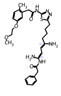 COCCOc1ccc(C)c(CC(=O)Nc2nnc(CCCC/C(N)=C/C=C(\N)NC(=O)Cc3ccccc3)s2)c1